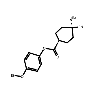 CCCC[C@]1(C#N)CC[C@@H](C(=O)Oc2ccc(OCC)cc2)CC1